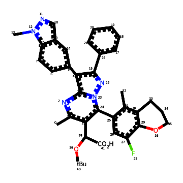 Cc1nc2c(-c3ccc4c(cnn4C)c3)c(-c3ccccc3)nn2c(-c2cc(F)c3c(c2C)CCCO3)c1C(OC(C)(C)C)C(=O)O